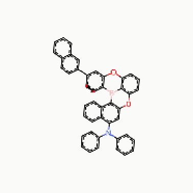 c1ccc(N(c2ccccc2)c2cc3c(c4ccccc24)B2c4c(cccc4O3)Oc3cc(-c4ccc5ccccc5c4)c4ccccc4c32)cc1